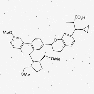 COC[C@H]1CC[C@H](COC)N1Cc1cc(C2CCc3ccc(C(C4CC4)[C@H](C)C(=O)O)cc3O2)ccc1-c1cc(OC)ncc1F